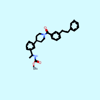 CC(NC(=O)OC(C)(C)C)c1cccc(C2CCN(C(=O)c3cccc(CCc4ccccc4)c3)CC2)c1